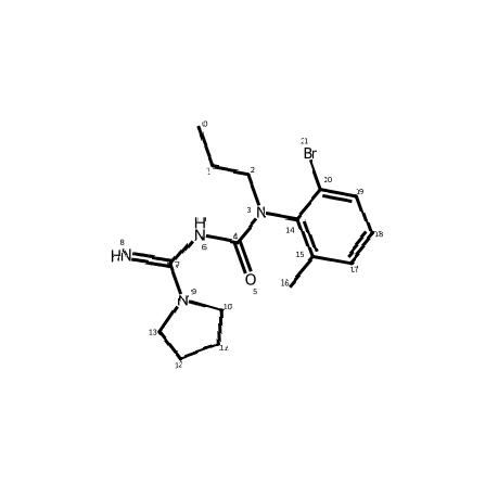 CCCN(C(=O)NC(=N)N1CCCC1)c1c(C)cccc1Br